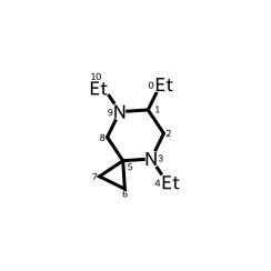 CCC1CN(CC)C2(CC2)CN1CC